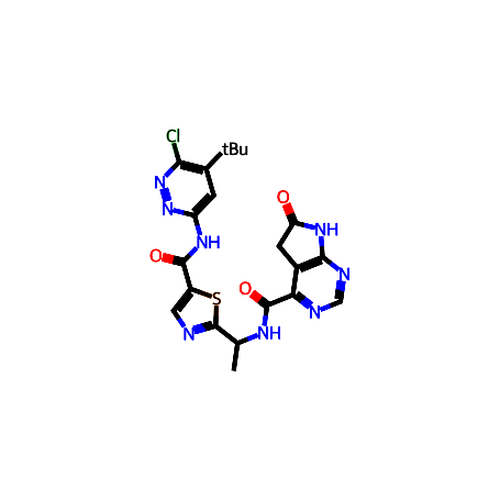 CC(NC(=O)c1ncnc2c1CC(=O)N2)c1ncc(C(=O)Nc2cc(C(C)(C)C)c(Cl)nn2)s1